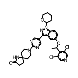 CC(Oc1ccc2c(c1)c(-c1cnc(N3CCC4(CCC(=O)N4)CC3)nc1)nn2C1CCCCO1)c1c(Cl)cncc1Cl